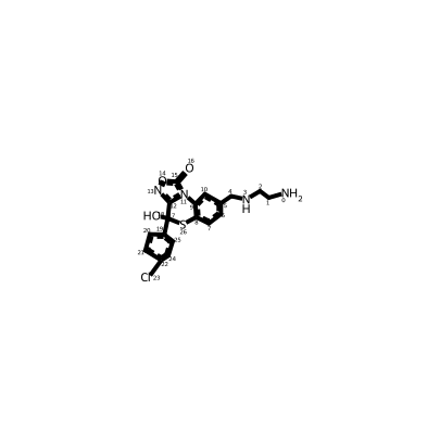 NCCNCc1ccc2c(c1)-n1c(noc1=O)C(O)(c1ccc(Cl)cc1)S2